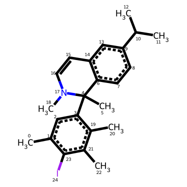 Cc1cc(C2(C)c3ccc(C(C)C)cc3C=CN2C)c(C)c(C)c1I